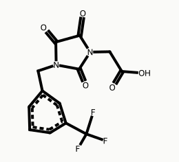 O=C(O)CN1C(=O)C(=O)N(Cc2cccc(C(F)(F)F)c2)C1=O